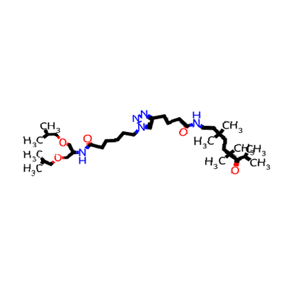 CC(C)COCC(COCC(C)C)NC(=O)CCCCCn1cc(CCCC(=O)NCCC(C)(C)CCC(C)(C)C(=O)C(C)C)nn1